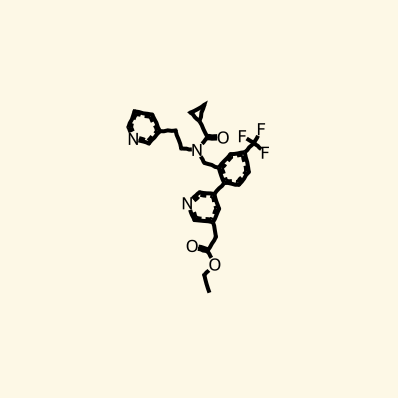 CCOC(=O)Cc1cncc(-c2ccc(C(F)(F)F)cc2CN(CCc2cccnc2)C(=O)C2CC2)c1